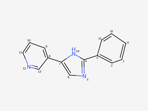 c1ccc(-c2ncc(-c3cccnc3)[nH]2)cc1